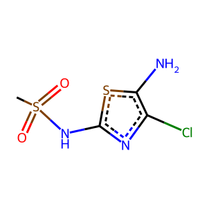 CS(=O)(=O)Nc1nc(Cl)c(N)s1